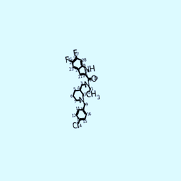 CCN(CC1CCCN(Cc2ccc(Cl)cc2)C1)C(=O)c1cc2cc(F)c(F)cc2[nH]1